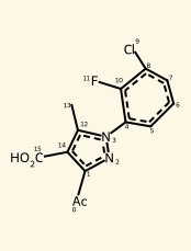 CC(=O)c1nn(-c2cccc(Cl)c2F)c(C)c1C(=O)O